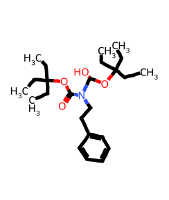 CCC(CC)(CC)OC(=O)N(CCc1ccccc1)C(O)OC(CC)(CC)CC